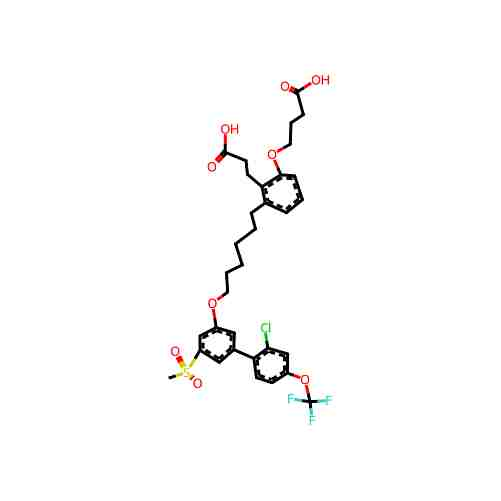 CS(=O)(=O)c1cc(OCCCCCCc2cccc(OCCCC(=O)O)c2CCC(=O)O)cc(-c2ccc(OC(F)(F)F)cc2Cl)c1